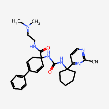 CN(C)CCNC(=O)C1(NC(=O)NC2(c3ccnc(C#N)n3)CCCCC2)C=CC(c2ccccc2)=CC1